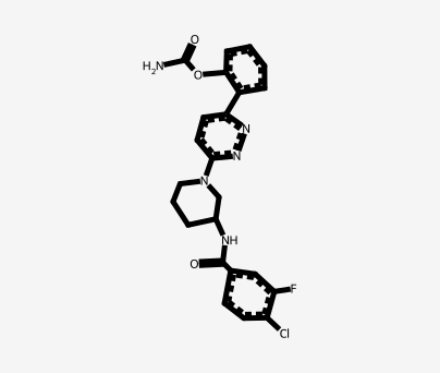 NC(=O)Oc1ccccc1-c1ccc(N2CCCC(NC(=O)c3ccc(Cl)c(F)c3)C2)nn1